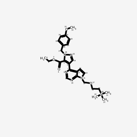 CCOC(=O)c1c(-c2ncnc3c2ccn3COCC[Si](C)(C)C)cnn1Cc1ccc(OC)cc1